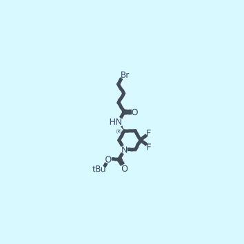 CC(C)(C)OC(=O)N1C[C@H](NC(=O)CCCBr)CC(F)(F)C1